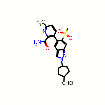 CS(=O)(=O)c1cc2nn(C3CCC(C=O)CC3)cc2cc1-c1ccc(C(F)(F)F)nc1C(N)=O